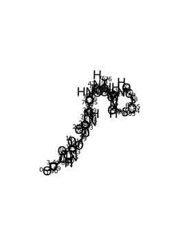 COc1ccc(C2=CN3C(=O)c4cc(OC)c(OCCCOc5cc6c(cc5OC)CN5C=C(c7ccc(NC(=O)[C@H](C)NC(=O)[C@@H](NC(=O)c8cc9nc(c8)NC(=O)CCSC8CCCC(C8)SCCC(=O)N9)C(C)C)cc7)C[C@H]5C=N6)cc4N=C[C@@H]3C2)cc1